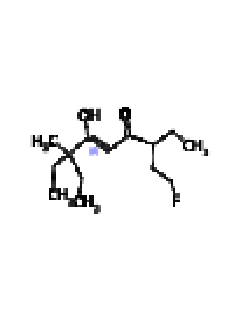 CCC(CCF)C(=O)/C=C(\O)C(C)(CC)CC